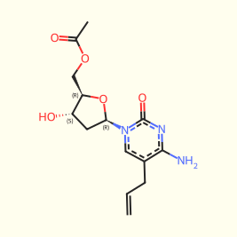 C=CCc1cn([C@H]2C[C@H](O)[C@@H](COC(C)=O)O2)c(=O)nc1N